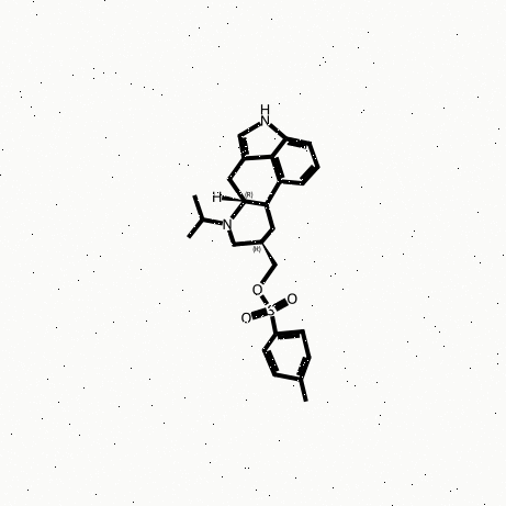 Cc1ccc(S(=O)(=O)OC[C@@H]2CC3c4cccc5[nH]cc(c45)C[C@H]3N(C(C)C)C2)cc1